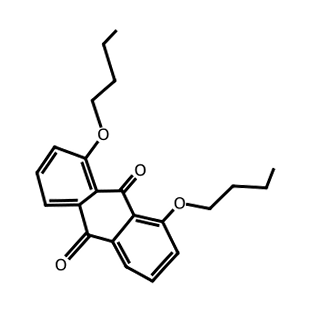 CCCCOc1cccc2c1C(=O)c1c(OCCCC)cccc1C2=O